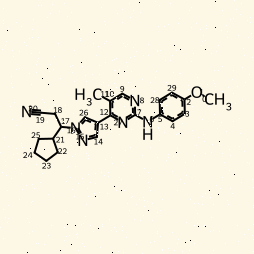 COc1ccc(Nc2ncc(C)c(-c3cnn(C(CC#N)C4CCCC4)c3)n2)cc1